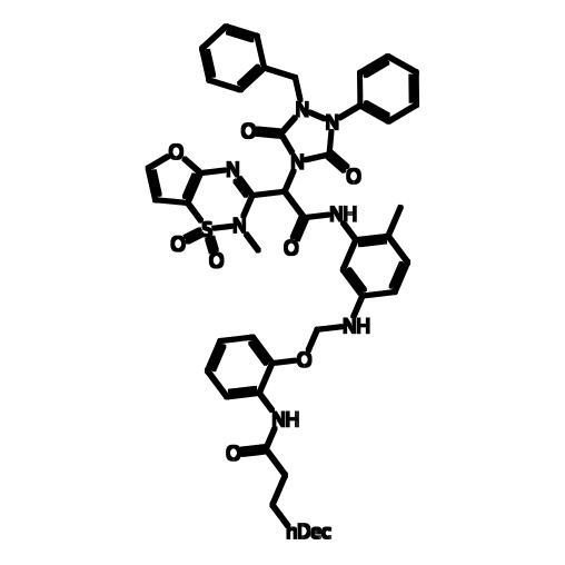 CCCCCCCCCCCCC(=O)Nc1ccccc1OCNc1ccc(C)c(NC(=O)C(C2=Nc3occc3S(=O)(=O)N2C)n2c(=O)n(Cc3ccccc3)n(-c3ccccc3)c2=O)c1